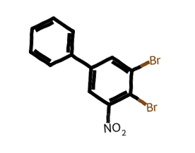 O=[N+]([O-])c1cc(-c2ccccc2)cc(Br)c1Br